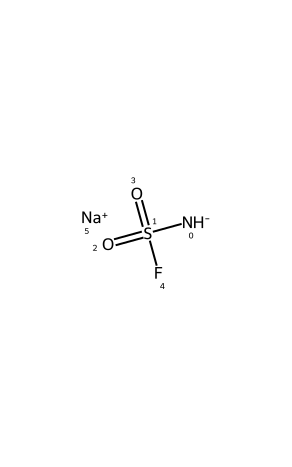 [NH-]S(=O)(=O)F.[Na+]